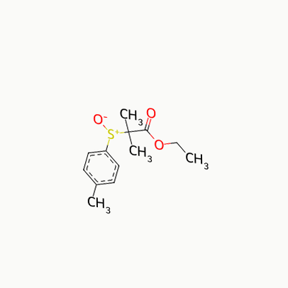 CCOC(=O)C(C)(C)[S+]([O-])c1ccc(C)cc1